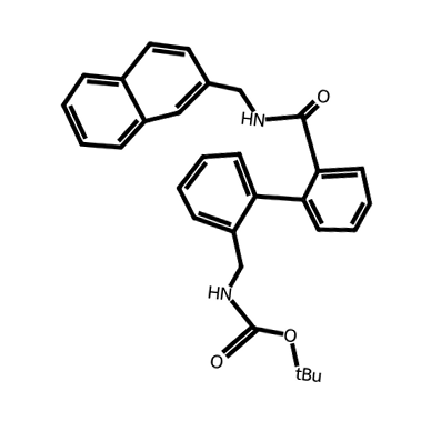 CC(C)(C)OC(=O)NCc1ccccc1-c1ccccc1C(=O)NCc1ccc2ccccc2c1